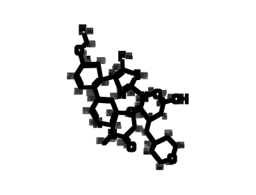 CN(C(=O)C(CC(=O)O)CC1CCOCC1)c1nc(-c2cc(OCF)ccc2-c2cnc3c(c2)CCC(=O)N3C)c(F)s1